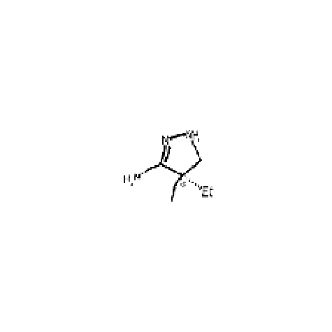 CC[C@@]1(C)CNN=C1N